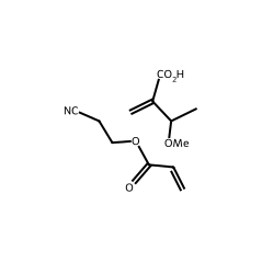 C=C(C(=O)O)C(C)OC.C=CC(=O)OCCC#N